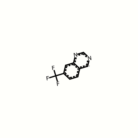 FC(F)(F)c1ccc2[c]ncnc2c1